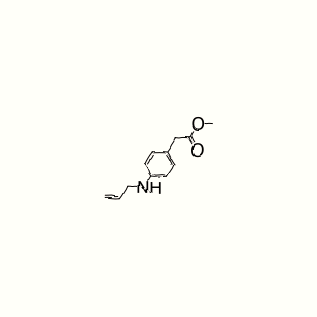 C=CCNc1ccc(CC(=O)OC)cc1